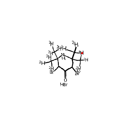 Br.[2H]C([2H])([2H])C1(C([2H])([2H])[2H])NC(C([2H])([2H])[2H])(C([2H])([2H])[2H])C(Br)C(=O)C1Br